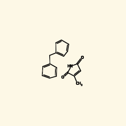 CC1=CC(=O)NC1=O.c1ccc(Cc2ccccc2)cc1